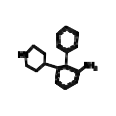 Nc1cccc(C2CCNCC2)c1-c1ccccc1